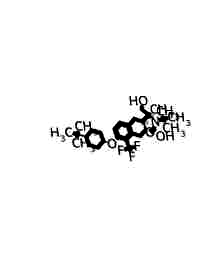 CC(C)(C)N(C(=O)O)[C@@](C)(CO)[C@H]1CCc2c(ccc(O[C@H]3CC[C@H](C(C)(C)C)CC3)c2C(F)(F)F)C1